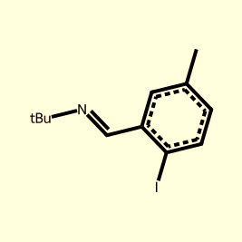 Cc1ccc(I)c(/C=N/C(C)(C)C)c1